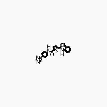 O=C(Nc1ccc(-n2cncn2)cc1)c1ccc(C(=O)Nc2ccccc2Cl)s1